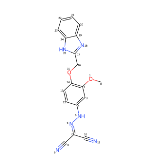 COc1cc(NN=C(C#N)C#N)ccc1OCc1nc2ccccc2[nH]1